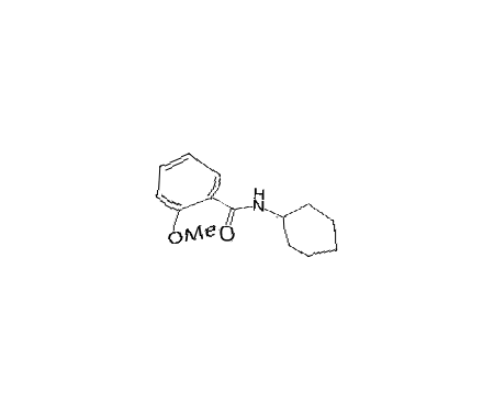 COc1ccccc1C(=O)N[C]1CCCCC1